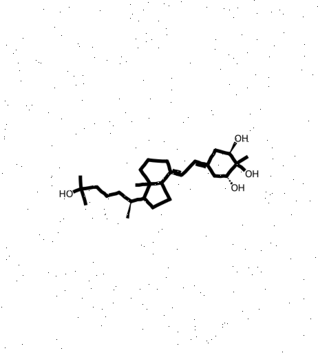 C[C@@H](CCCC(C)(C)O)C1CCC2/C(=C/C=C3C[C@@H](O)C(C)(O)[C@H](O)C3)CCCC21C